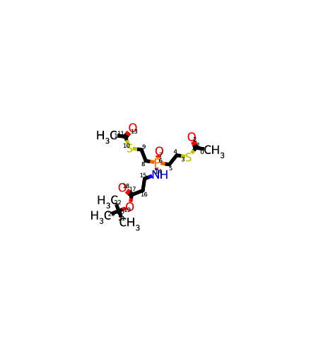 CC(=O)SCCP(=O)(CCSC(C)=O)NCCC(=O)OC(C)(C)C